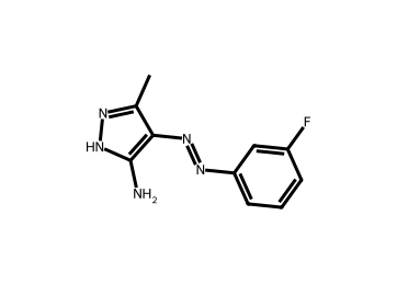 Cc1n[nH]c(N)c1/N=N/c1cccc(F)c1